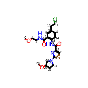 COCCNC(=O)c1cc(CCCl)ccc1NC(=O)c1csc(N2CCC(OC)C2)n1